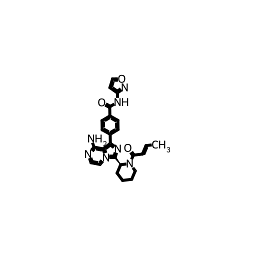 CC=CC(=O)N1CCCC[C@H]1c1nc(-c2ccc(C(=O)Nc3ccon3)cc2)c2c(N)nccn12